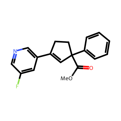 COC(=O)C1(c2ccccc2)C=C(c2cncc(F)c2)CC1